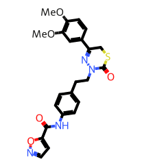 COc1ccc(C2=NN(CCc3ccc(NC(=O)c4ccno4)cc3)C(=O)SC2)cc1OC